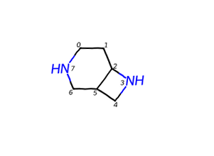 C1CC2NCC2CN1